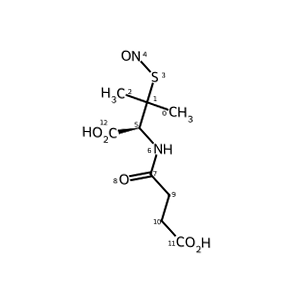 CC(C)(SN=O)[C@@H](NC(=O)CCC(=O)O)C(=O)O